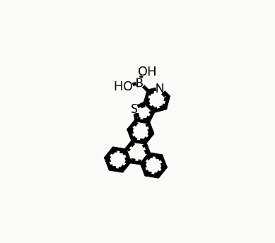 OB(O)c1nccc2c1sc1cc3c4ccccc4c4ccccc4c3cc12